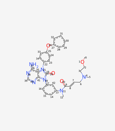 COCCN(C)C/C=C/C(=O)N(C)c1cccc(-n2c(=O)n(-c3ccc(Oc4ccccc4)cc3)c3c(N)ncnc32)c1